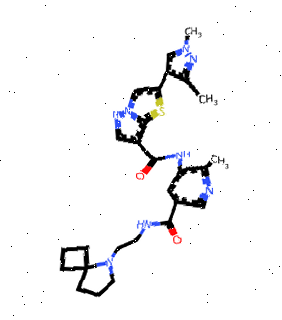 Cc1ncc(C(=O)NCCN2CCCC23CCC3)cc1NC(=O)c1cnn2cc(-c3cn(C)nc3C)sc12